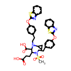 CS(=O)(=O)N(CCc1ccc(Oc2nc3ccccc3s2)cc1)C(CCC(=O)O)C(C(=O)O)N(CCc1ccc(Oc2nc3ccccc3s2)cc1)C1CC1